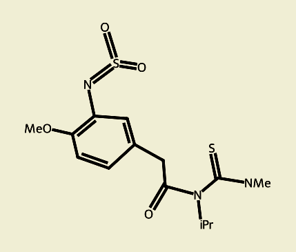 CNC(=S)N(C(=O)Cc1ccc(OC)c(N=S(=O)=O)c1)C(C)C